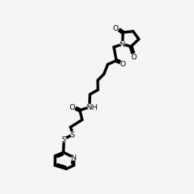 O=C(CCCCCNC(=O)CCSSc1ccccn1)CN1C(=O)CCC1=O